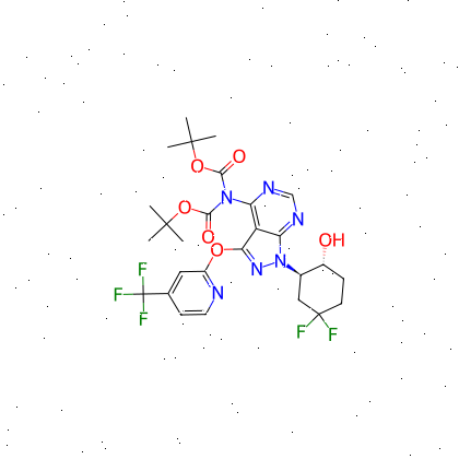 CC(C)(C)OC(=O)N(C(=O)OC(C)(C)C)c1ncnc2c1c(Oc1cc(C(F)(F)F)ccn1)nn2[C@@H]1CC(F)(F)CC[C@H]1O